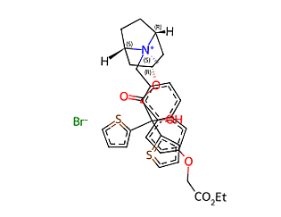 CCOC(=O)COc1ccc2cc(C[N@+]3(C)[C@@H]4CC[C@H]3C[C@@H](OC(=O)C(O)(c3cccs3)c3cccs3)C4)ccc2c1.[Br-]